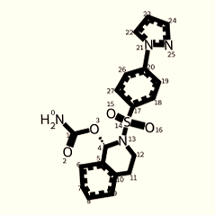 NC(=O)O[C@H]1c2ccccc2CCN1S(=O)(=O)c1ccc(-n2cccn2)cc1